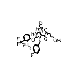 CN(CCCO)C(=O)C1=C(NC=O)NC(Oc2cccc(C(F)(F)P)c2)N1Cc1ccc(F)cc1